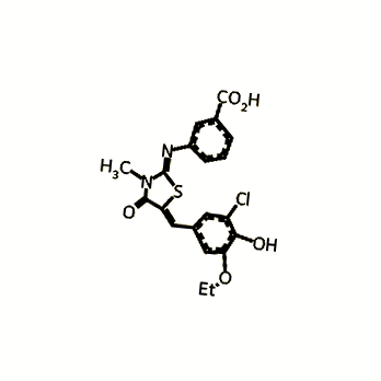 CCOc1cc(/C=C2\SC(=Nc3cccc(C(=O)O)c3)N(C)C2=O)cc(Cl)c1O